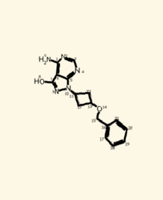 Nc1ncnc2c1c(O)nn2C1CC(OCc2ccccc2)C1